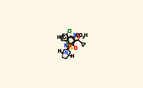 Cc1cc(C(=O)O)cc2sc(N3[C@@H]4CC[C@H]3C[C@H](OC(=O)c3c(-c5c(Cl)cccc5Cl)noc3C3CC3)C4)nc12